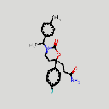 Cc1ccc([C@H](C)N2CC[C@@](CCC(N)=O)(c3ccc(F)cc3)OC2=O)cc1